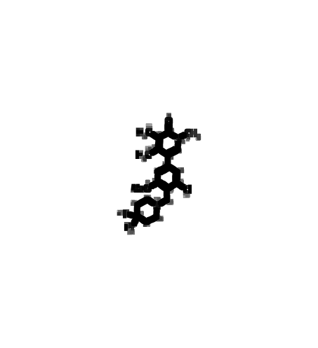 COc1cc(-c2cn(C)c(=O)c(C)c2C)cc(Cl)c1CN1CCC(F)(C(C)C)CC1